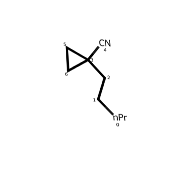 CCCCCC1(C#N)CC1